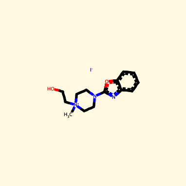 C[N+]1(CCO)CCN(c2nc3ccccc3o2)CC1.[I-]